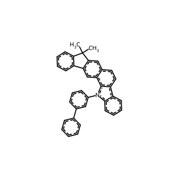 CC1(C)c2ccccc2-c2cc3c(ccc4c5ccccc5n(-c5cccc(-c6ccccc6)c5)c34)cc21